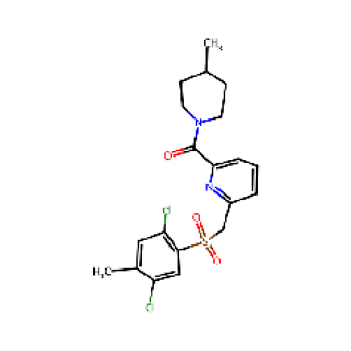 Cc1cc(Cl)c(S(=O)(=O)Cc2cccc(C(=O)N3CCC(C)CC3)n2)cc1Cl